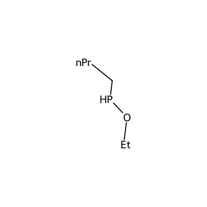 CCCCPOCC